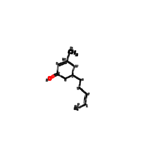 CC/C=C\CCC1CC(=O)C=C(C)C1